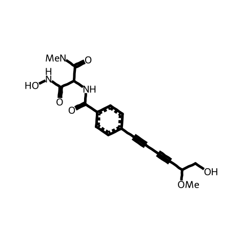 CNC(=O)C(NC(=O)c1ccc(C#CC#CC(CO)OC)cc1)C(=O)NO